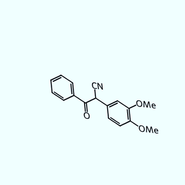 COc1ccc(C(C#N)C(=O)c2ccccc2)cc1OC